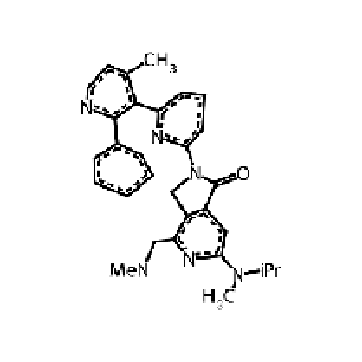 CNCc1nc(N(C)C(C)C)cc2c1CN(c1cccc(-c3c(C)ccnc3-c3ccccc3)n1)C2=O